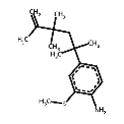 C=C(C)C(C)(C)CC(C)(C)c1ccc(N)c(SC)c1